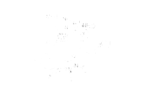 COC(=O)CSc1cc(/N=c2\sc(=O)n3n2CCCC3)c(F)cc1Cl.COc1cc(OC)nc(NC(=O)NS(=O)(=O)Cc2ccccc2C(=O)O)n1